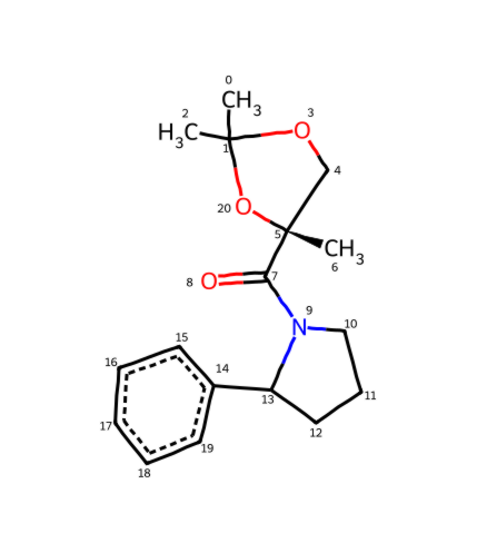 CC1(C)OC[C@](C)(C(=O)N2CCCC2c2ccccc2)O1